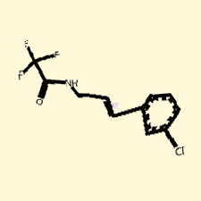 O=C(NC/C=C/c1cccc(Cl)c1)C(F)(F)F